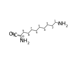 NCCCCCCCCCC(N)=C=O